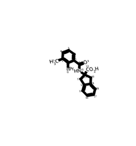 CCCc1c(C)cccc1C(=O)NC1(C(=O)O)Cc2ccccc2C1